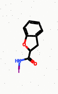 O=C(NI)C1Cc2ccccc2O1